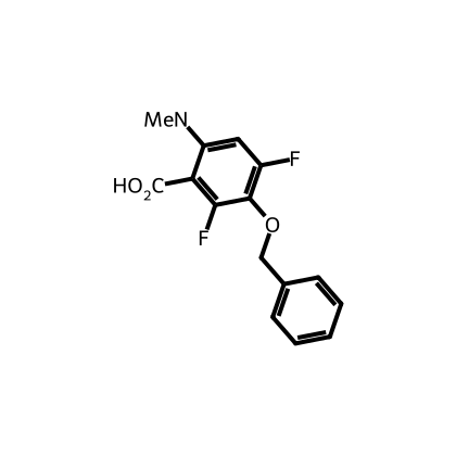 CNc1cc(F)c(OCc2ccccc2)c(F)c1C(=O)O